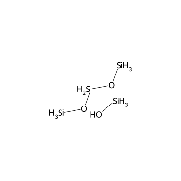 O[SiH3].[SiH3]O[SiH2]O[SiH3]